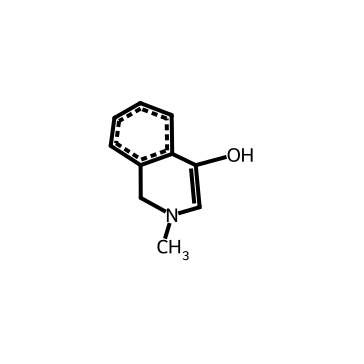 CN1C=C(O)c2ccccc2C1